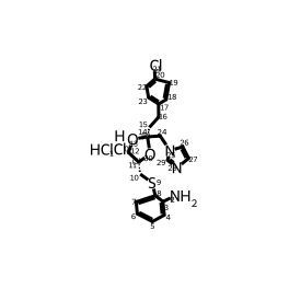 Cl.Cl.Nc1ccccc1SC[C@@H]1CO[C@@](CCc2ccc(Cl)cc2)(Cn2ccnc2)O1